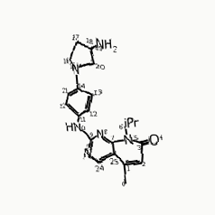 Cc1cc(=O)n(C(C)C)c2nc(Nc3ccc(N4CCC(N)C4)cc3)ncc12